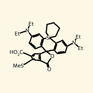 CCN(CC)c1ccc2c(c1)[Si]1(CCCCC1)c1cc(N(CC)CC)ccc1C21OC(=O)c2cc(SC)c(C(=O)O)cc21